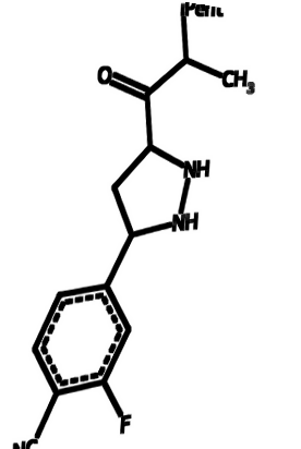 CCCC(C)C(C)C(=O)C1CC(c2ccc(C#N)c(F)c2)NN1